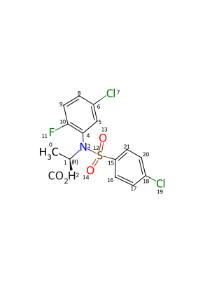 C[C@H](C(=O)O)N(c1cc(Cl)ccc1F)S(=O)(=O)c1ccc(Cl)cc1